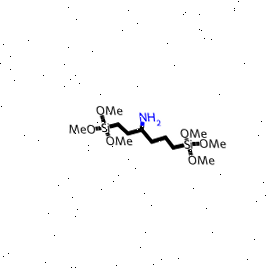 CO[Si](CCCC(N)CC[Si](OC)(OC)OC)(OC)OC